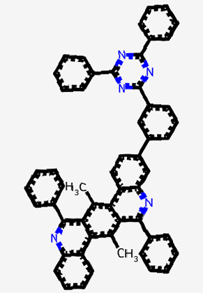 Cc1c2c(-c3ccccc3)nc3cc(-c4cccc(-c5nc(-c6ccccc6)nc(-c6ccccc6)n5)c4)ccc3c2c(C)c2c(-c3ccccc3)nc3ccccc3c12